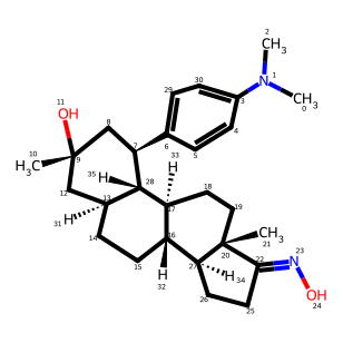 CN(C)c1ccc([C@@H]2C[C@@](C)(O)C[C@@H]3CC[C@@H]4[C@H](CC[C@]5(C)C(=NO)CC[C@@H]45)[C@H]32)cc1